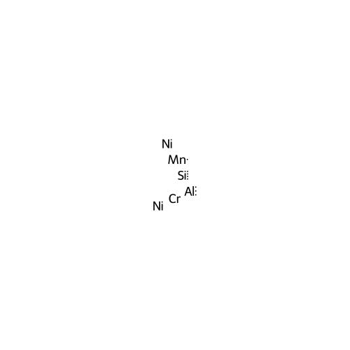 [Al].[Cr].[Mn].[Ni].[Ni].[Si]